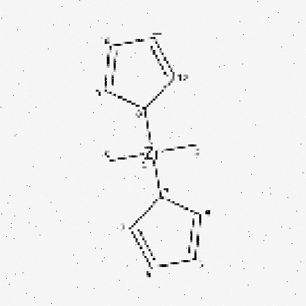 [CH3][Zr]([CH3])([CH]1C=CC=C1)[CH]1C=CC=C1